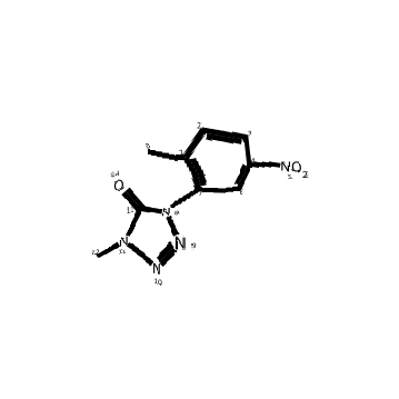 Cc1ccc([N+](=O)[O-])cc1-n1nnn(C)c1=O